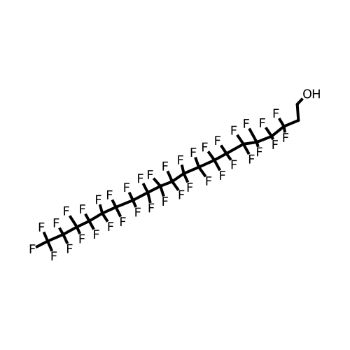 OCCC(F)(F)C(F)(F)C(F)(F)C(F)(F)C(F)(F)C(F)(F)C(F)(F)C(F)(F)C(F)(F)C(F)(F)C(F)(F)C(F)(F)C(F)(F)C(F)(F)C(F)(F)C(F)(F)C(F)(F)C(F)(F)F